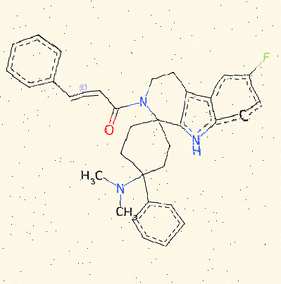 CN(C)C1(c2ccccc2)CCC2(CC1)c1[nH]c3ccc(F)cc3c1CCN2C(=O)/C=C/c1ccccc1